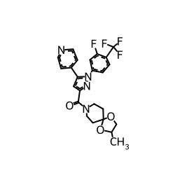 CC1COC2(CCN(C(=O)c3cc(-c4ccncc4)n(-c4ccc(C(F)(F)F)c(F)c4)n3)CC2)O1